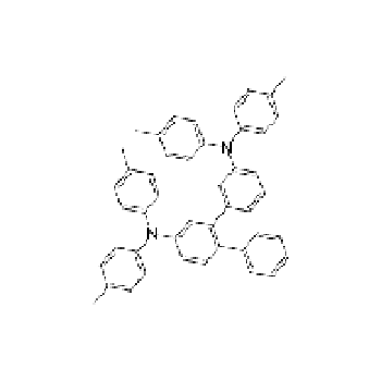 Cc1ccc(N(c2ccc(C)cc2)c2cccc(-c3cc(N(c4ccc(C)cc4)c4ccc(C)cc4)ccc3-c3ccccc3)c2)cc1